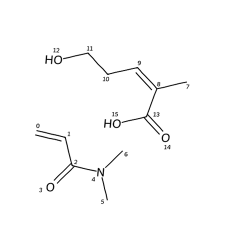 C=CC(=O)N(C)C.CC(=CCCO)C(=O)O